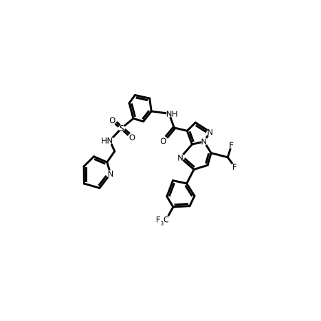 O=C(Nc1cccc(S(=O)(=O)NCc2ccccn2)c1)c1cnn2c(C(F)F)cc(-c3ccc(C(F)(F)F)cc3)nc12